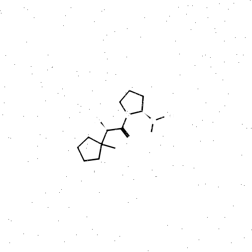 CC1([C@@H](N)C(=O)N2CCC[C@H]2B(O)O)CCCC1